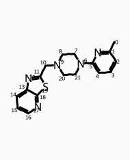 Cc1cccc(N2CCN(Cc3nc4cccnc4s3)CC2)n1